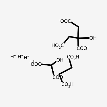 O=C(O)CCC(=O)O.O=C([O-])C(O)C(=O)[O-].O=C([O-])CC(O)(CC(=O)O)C(=O)[O-].[H+].[H+].[H+].[H+]